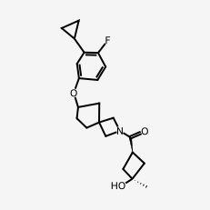 C[C@]1(O)C[C@@H](C(=O)N2CC3(CCC(Oc4ccc(F)c(C5CC5)c4)C3)C2)C1